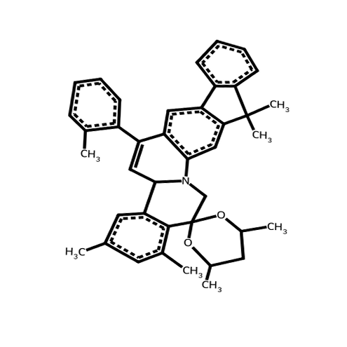 Cc1cc(C)c2c(c1)C1C=C(c3ccccc3C)c3cc4c(cc3N1CC21OC(C)CC(C)O1)C(C)(C)c1ccccc1-4